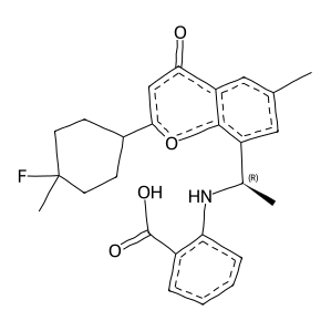 Cc1cc([C@@H](C)Nc2ccccc2C(=O)O)c2oc(C3CCC(C)(F)CC3)cc(=O)c2c1